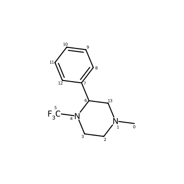 CN1CCN(C(F)(F)F)C(c2ccccc2)C1